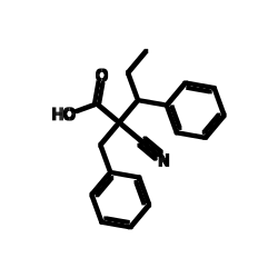 CCC(c1ccccc1)C(C#N)(Cc1ccccc1)C(=O)O